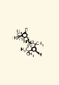 CC(C)c1cc(C#N)cc(C(C)C)c1NC(=O)NSc1cc(Cl)cc(C(C)(C)O)c1